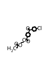 C=CC(=O)OCCOC(=O)c1ccc(C(=O)c2ccc(Cl)cc2)cc1